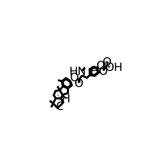 CNC(Cc1ccc(OP(=O)(O)O)cc1)C(=O)Oc1cc(C)c2c(c1)C[C@H]1C2(C)CCC2C(C)(C)CCC[C@@]21C